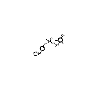 COc1cc(C)c(SN(C)CCC(=O)N(C)CCc2ccc(CN3CCCC3)cc2)c(C)c1